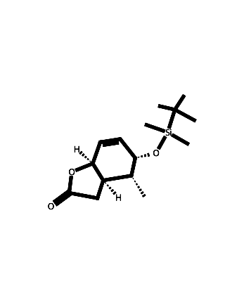 C[C@@H]1[C@H]2CC(=O)O[C@H]2C=C[C@@H]1O[Si](C)(C)C(C)(C)C